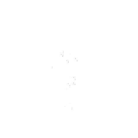 Fc1ccc(-n2cc(COc3ncc(F)c(NC4CC(F)(F)C4)n3)nn2)cc1OC(F)F